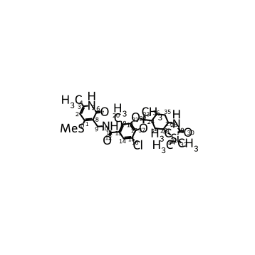 CSc1cc(C)[nH]c(=O)c1CNC(=O)c1cc(Cl)c2c(c1C)OC(C)(C1CCC(NC(=O)[Si](C)(C)C)CC1)O2